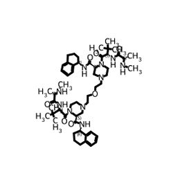 CN[C@@H](C)C(=O)N[C@H](C(=O)N1CCN(CCOCCN2CCN(C(=O)[C@@H](NC(=O)[C@H](C)NC)C(C)(C)C)[C@H](C(=O)N[C@@H]3CCCc4ccccc43)C2)C[C@H]1C(=O)N[C@@H]1CCCc2ccccc21)C(C)(C)C